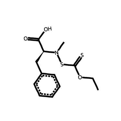 CCOC(=S)SN(C)[C@@H](Cc1ccccc1)C(=O)O